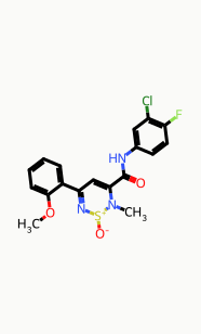 COc1ccccc1C1=N[S+]([O-])N(C)C(C(=O)Nc2ccc(F)c(Cl)c2)=C1